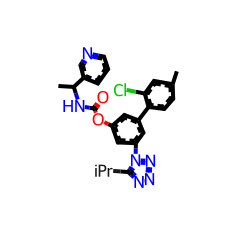 Cc1ccc(-c2cc(OC(=O)NC(C)c3cccnc3)cc(-n3nnnc3C(C)C)c2)c(Cl)c1